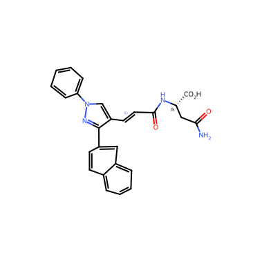 NC(=O)C[C@H](NC(=O)/C=C/c1cn(-c2ccccc2)nc1-c1ccc2ccccc2c1)C(=O)O